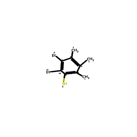 CCc1c(C)c(C)c(C)c(S)c1CC